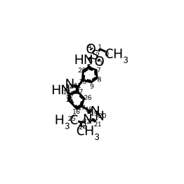 CCS(=O)(=O)Nc1cccc(-c2n[nH]c3ccc(-c4nncn4C(C)C)cc23)c1